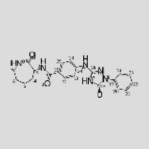 O=C(NC1CCCCNC1=O)c1ccc(Nc2nn(-c3ccccc3)c(=O)[nH]2)cc1